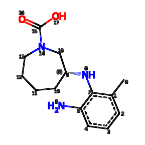 Cc1cccc(N)c1N[C@@H]1CCCCN(C(=O)O)C1